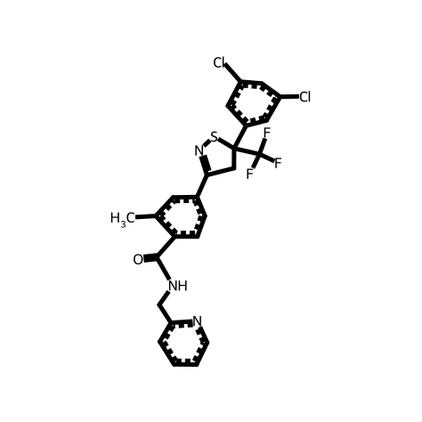 Cc1cc(C2=NSC(c3cc(Cl)cc(Cl)c3)(C(F)(F)F)C2)ccc1C(=O)NCc1ccccn1